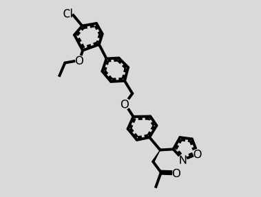 CCOc1cc(Cl)ccc1-c1ccc(COc2ccc([C@H](CC(C)=O)c3ccon3)cc2)cc1